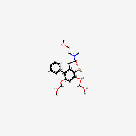 COCCN(C)C(=O)Cc1c(Br)c(OCOC)cc(OCOC)c1-c1ccccc1